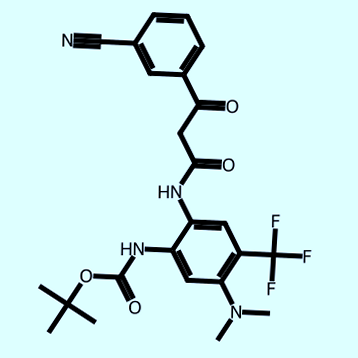 CN(C)c1cc(NC(=O)OC(C)(C)C)c(NC(=O)CC(=O)c2cccc(C#N)c2)cc1C(F)(F)F